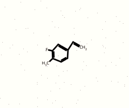 C=Cc1ccc(C)c(F)c1